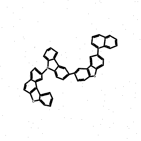 c1ccc2c(-c3ccc4sc5ccc(-c6ccc7c(c6)c6ccccc6n7-c6ccc7ccc8oc9ccccc9c8c7c6)cc5c4c3)cccc2c1